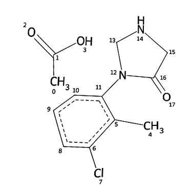 CC(=O)O.Cc1c(Cl)cccc1N1CNCC1=O